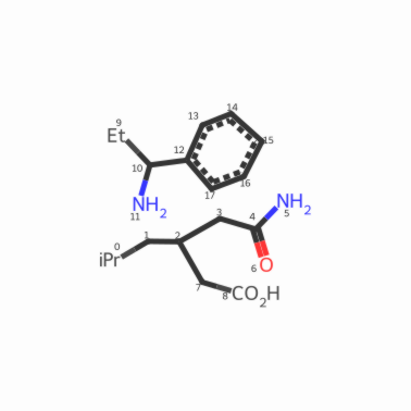 CC(C)CC(CC(N)=O)CC(=O)O.CCC(N)c1ccccc1